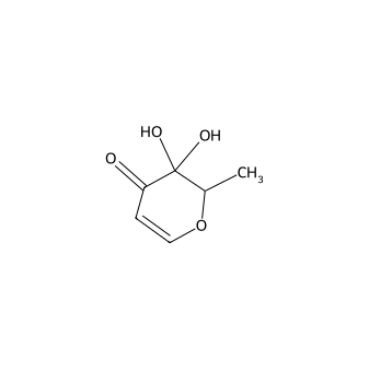 CC1OC=CC(=O)C1(O)O